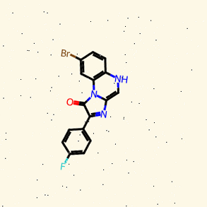 O=c1c(-c2ccc(F)cc2)nc2c[nH]c3ccc(Br)cc3n1-2